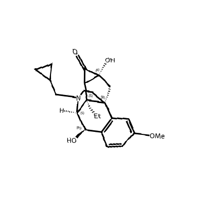 CC[C@]12C3C(=O)[C@@]3(O)C[C@@]13CCN(CC1CC1)[C@@H]2[C@H](O)c1ccc(OC)cc13